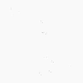 COc1ccc(CN(c2ccncn2)S(=O)(=O)c2cc(F)c(N[C@H]3CC[C@H](c4cccc(C(F)(F)F)c4)C[C@@H]3N(C)C3CCC3)cc2F)c(OC)c1